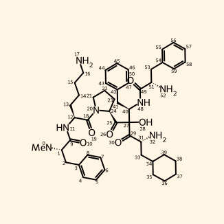 CN[C@@H](Cc1ccccc1)C(=O)N[C@@H](CCCCN)C(=O)N1CCC[C@H]1C(=O)C(O)(C(=O)[C@H](N)CC1CCCCC1)[C@@H](Cc1ccccc1)NC(=O)[C@@H](N)Cc1ccccc1